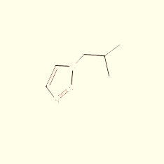 CC(C)Cn1c[c]nn1